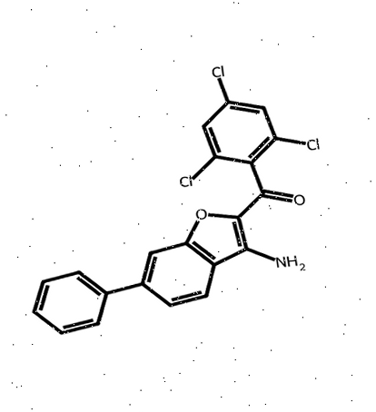 Nc1c(C(=O)c2c(Cl)cc(Cl)cc2Cl)oc2cc(-c3ccccc3)ccc12